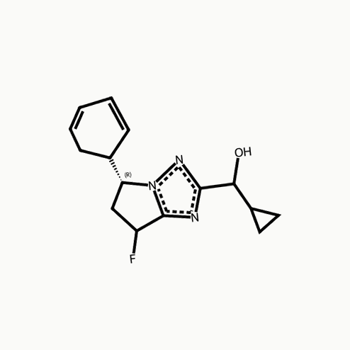 OC(c1nc2n(n1)[C@@H](C1C=CC=CC1)CC2F)C1CC1